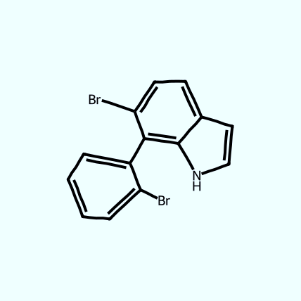 Brc1ccccc1-c1c(Br)ccc2cc[nH]c12